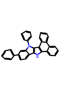 c1ccc(-c2ccc3c4[nH]c5c6ccccc6c6ccccc6c5c4n(-c4ccccc4)c3c2)cc1